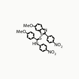 COc1ccc(C(=S)Nc2ccc([N+](=O)[O-])cc2)cc1.COc1ccc2nc(-c3ccc([N+](=O)[O-])cc3)sc2c1